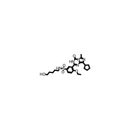 CCOc1ccc(S(=O)(=O)NCCCCCO)cc1-c1nc2c(C3CCCC3)nc(C)n2c(=O)[nH]1